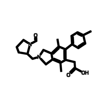 Cc1ccc(-c2c(C)c3c(c(C)c2CC(=O)O)CN(CC2CCCN2C=O)C3)cc1